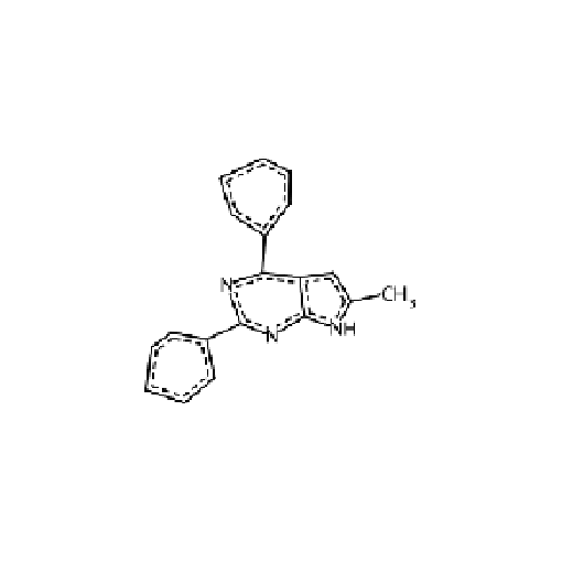 Cc1cc2c(-c3ccccc3)nc(-c3ccccc3)nc2[nH]1